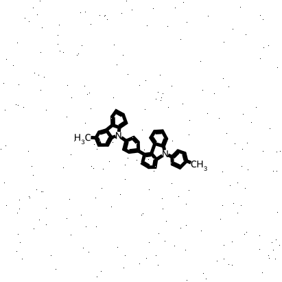 Cc1ccc(-n2c3ccccc3c3c(-c4ccc(-n5c6ccccc6c6cc(C)ccc65)cc4)cccc32)cc1